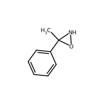 CC1(c2ccccc2)NO1